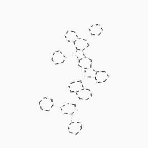 c1ccc(-c2nc(-c3ccccc3)nc(-c3cccc4c(-n5c6ccccc6c6cc7c8cc(-c9ccccc9)c9ccccc9c8n(-c8ccccc8)c7cc65)cccc34)n2)cc1